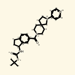 CC(C)(C)OC(=O)NC1CCc2ccc(C(=O)N3CCC4(CC3)CCN(c3ccncc3)C4)cc21